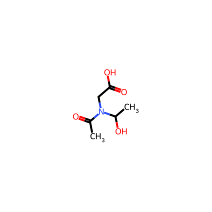 CC(=O)N(CC(=O)O)C(C)O